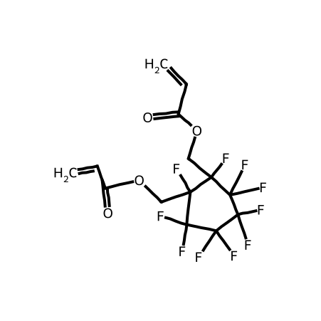 C=CC(=O)OCC1(F)C(F)(F)C(F)(F)C(F)(F)C(F)(F)C1(F)COC(=O)C=C